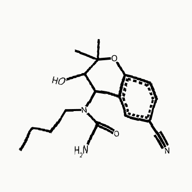 CCCCN(C(N)=O)C1c2cc(C#N)ccc2OC(C)(C)C1O